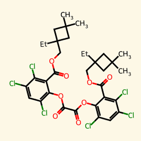 CCC1(COC(=O)c2c(Cl)c(Cl)cc(Cl)c2OC(=O)C(=O)Oc2c(Cl)cc(Cl)c(Cl)c2C(=O)OCC2(CC)CC(C)(C)C2)CC(C)(C)C1